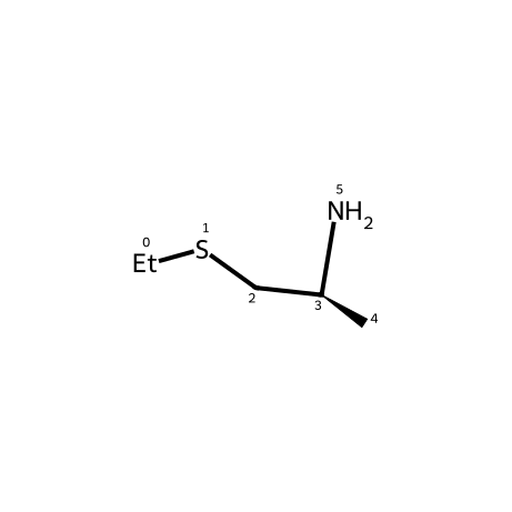 CCSC[C@H](C)N